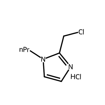 CCCn1ccnc1CCl.Cl